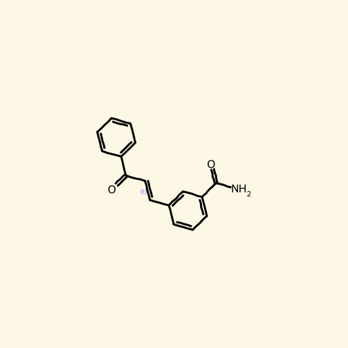 NC(=O)c1cccc(/C=C/C(=O)c2ccccc2)c1